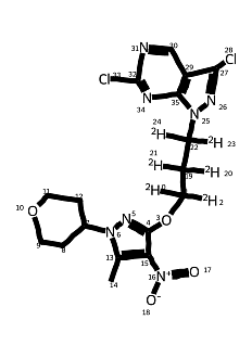 [2H]C([2H])(Oc1nn(C2CCOCC2)c(C)c1[N+](=O)[O-])C([2H])([2H])C([2H])([2H])n1nc(Cl)c2cnc(Cl)nc21